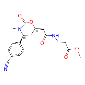 COC(=O)CCNC(=O)C[C@H]1C[C@@H](c2ccc(C#N)cc2)N(C)C(=O)O1